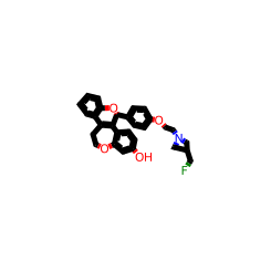 Oc1ccc2c(c1)OCCC1=C2C(c2ccc(OCCN3CC(CF)C3)cc2)Oc2ccccc21